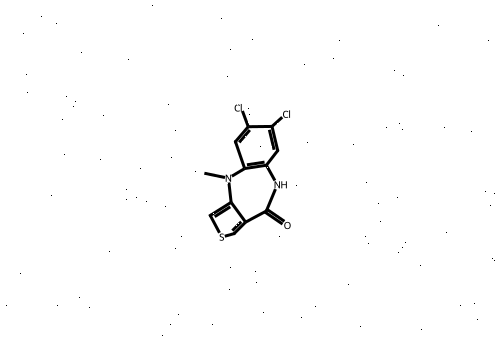 CN1c2cc(Cl)c(Cl)cc2NC(=O)c2cscc21